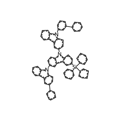 c1ccc(-c2cccc(-n3c4ccccc4c4cc(-n5c6ccc(-n7c8ccccc8c8cc(-c9ccccc9)ccc87)cc6c6cc([Si](c7ccccc7)(c7ccccc7)c7ccccc7)ccc65)ccc43)c2)cc1